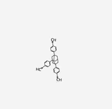 C#Cc1ccc(C23CC4CC(c5ccc(C#C)cc5)(C2)CC(c2ccc(C#C)cc2)(C4)C3)cc1